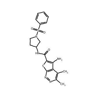 Cc1nnc2sc(C(=O)NC3CCN(S(=O)(=O)c4ccccc4)C3)c(N)c2c1C